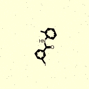 Cc1ccccc1NC(=O)c1cccc(I)c1